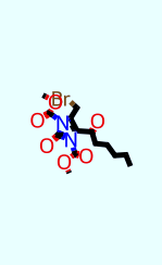 CCCCCC(=O)c1c(CBr)n(C(=O)OC)c(=O)n1C(=O)OC